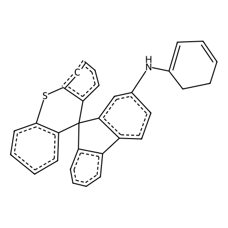 C1=CCCC(Nc2ccc3c(c2)C2(c4ccccc4Sc4ccccc42)c2ccccc2-3)=C1